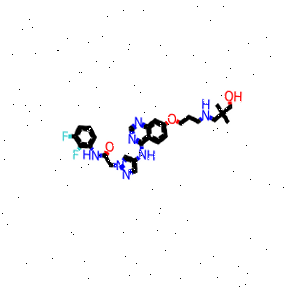 CC(C)(CO)CNCCCOc1ccc2c(Nc3cnn(CC(=O)Nc4cccc(F)c4F)c3)ncnc2c1